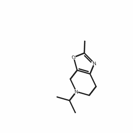 Cc1nc2c(o1)CN(C(C)C)CC2